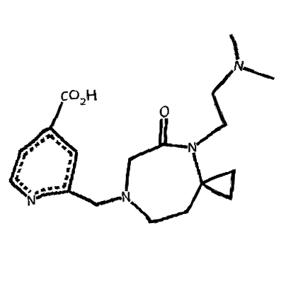 CN(C)CCN1C(=O)CN(Cc2cc(C(=O)O)ccn2)CCC12CC2